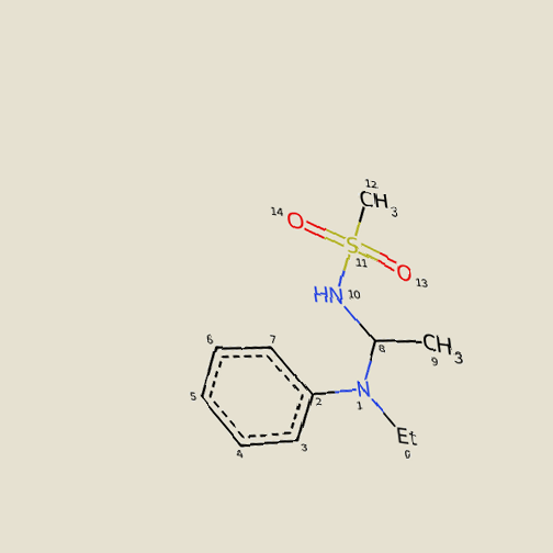 CCN(c1ccccc1)C(C)NS(C)(=O)=O